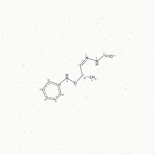 C[C@@H](/C=N\NC=O)ONc1ccccc1